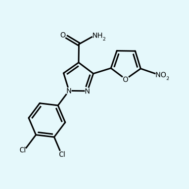 NC(=O)c1cn(-c2ccc(Cl)c(Cl)c2)nc1-c1ccc([N+](=O)[O-])o1